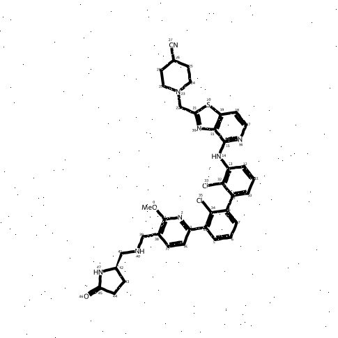 COc1nc(-c2cccc(-c3cccc(Nc4nccc5sc(CN6CCC(C#N)CC6)nc45)c3Cl)c2Cl)ccc1CNC[C@H]1CCC(=O)N1